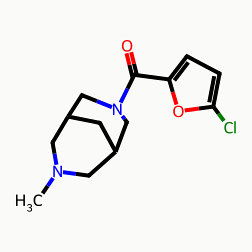 CN1CC2CC(C1)CN(C(=O)c1ccc(Cl)o1)C2